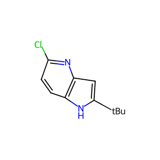 CC(C)(C)c1cc2nc(Cl)ccc2[nH]1